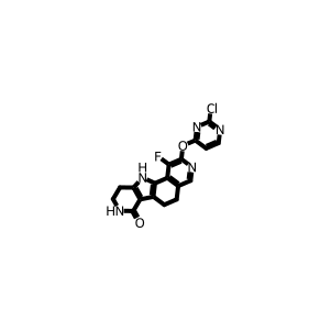 O=C1NCCc2[nH]c3c(c21)CCc1cnc(Oc2ccnc(Cl)n2)c(F)c1-3